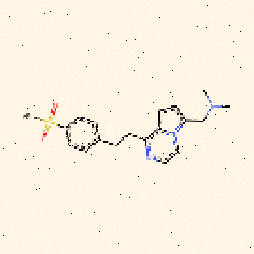 CCCCS(=O)(=O)c1ccc(CCc2nccn3c(CN(C)C)ccc23)cc1